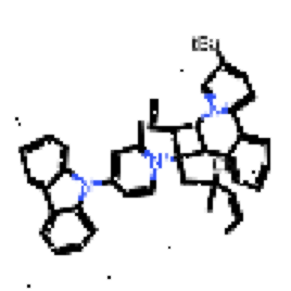 C=CC1C2C(c3ccccc3-c3ccc(C(C)(C)C)c[n+]32)C1(CC(C)(C#N)/C=C\C)[n+]1ccc(-n2c3ccccc3c3ccccc32)cc1C